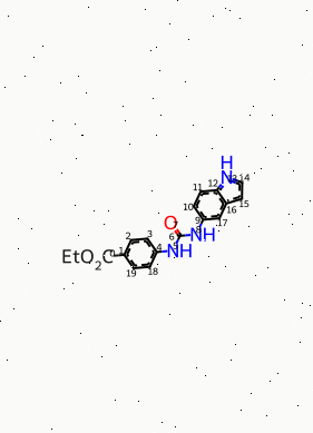 CCOC(=O)c1ccc(NC(=O)Nc2ccc3[nH]ccc3c2)cc1